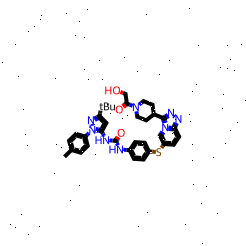 Cc1ccc(-n2nc(C(C)(C)C)cc2NC(=O)Nc2ccc(Sc3ccc4nnc(C5CCN(C(=O)CO)CC5)n4c3)cc2)cc1